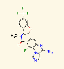 CN(C(=O)c1ccc2nc(N)c3cncn3c2c1F)[C@@H]1COc2cc(C(F)(F)F)ccc21